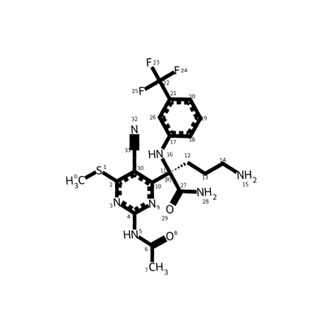 CSc1nc(NC(C)=O)nc([C@@](CCCN)(Nc2cccc(C(F)(F)F)c2)C(N)=O)c1C#N